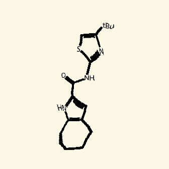 CC(C)(C)c1csc(NC(=O)c2cc3c([nH]2)CCCC3)n1